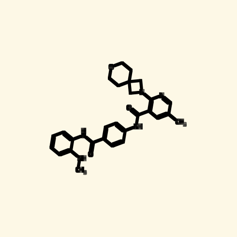 CNc1ccccc1NC(=O)c1ccc(NC(=O)c2cc(C)cnc2N2CC3(CCOCC3)C2)cc1